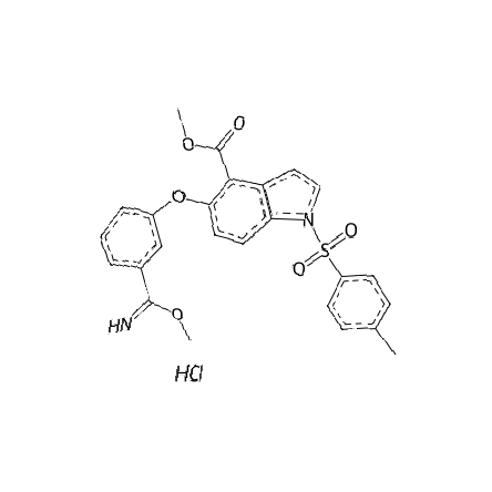 COC(=N)c1cccc(Oc2ccc3c(ccn3S(=O)(=O)c3ccc(C)cc3)c2C(=O)OC)c1.Cl